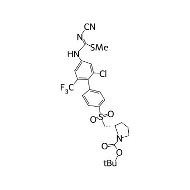 CS/C(=N\C#N)Nc1cc(Cl)c(-c2ccc(S(=O)(=O)C[C@@H]3CCCN3C(=O)OC(C)(C)C)cc2)c(C(F)(F)F)c1